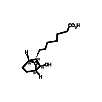 O=C(O)CCCCCC[C@@H]1[C@H](O)[C@@H]2CC[C@H]1O2